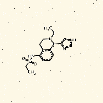 CCN1CCc2c(NS(=O)(=O)CC)cccc2C1c1c[nH]cn1